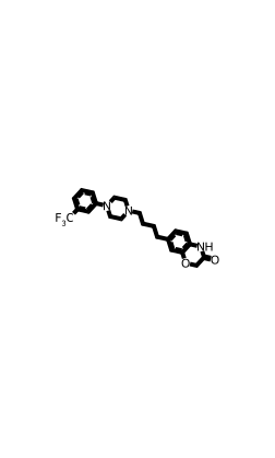 O=C1COc2cc(CCCCN3CCN(c4cccc(C(F)(F)F)c4)CC3)ccc2N1